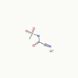 N#CC(=O)[N-]S(=O)(=O)F.[Li+]